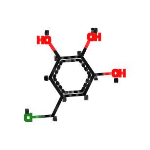 Oc1cc(CCl)cc(O)c1O